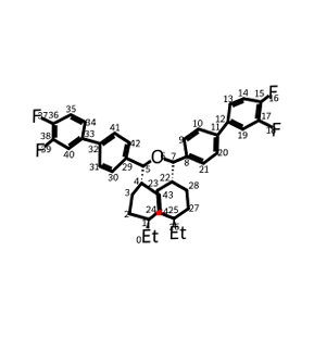 CC[C@H]1CC[C@H](C(OC(c2ccc(-c3ccc(F)c(F)c3)cc2)[C@H]2CC[C@H](CC)CC2)c2ccc(-c3ccc(F)c(F)c3)cc2)CC1